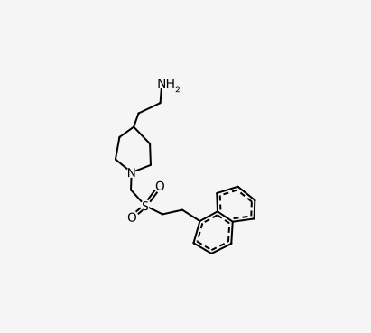 NCCC1CCN(CS(=O)(=O)CCc2cccc3ccccc23)CC1